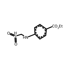 CCOC(=O)c1ccc(NC[SH](=O)=O)cc1